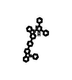 C1=C(c2ccccc2)NC(n2c3ccccc3c3cc(-c4ccc(-c5ccc6c7ccccc7n(-c7ccccc7)c6c5)cc4)ccc32)N=C1c1ccccc1